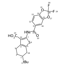 CC(C)(C)C1CCc2c(sc(NC(=O)c3ccc4c(c3)OC(F)(F)O4)c2C(=O)O)C1